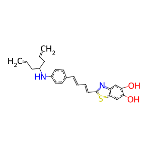 C=CCC(CC=C)Nc1ccc(/C=C/C=C/c2nc3cc(O)c(O)cc3s2)cc1